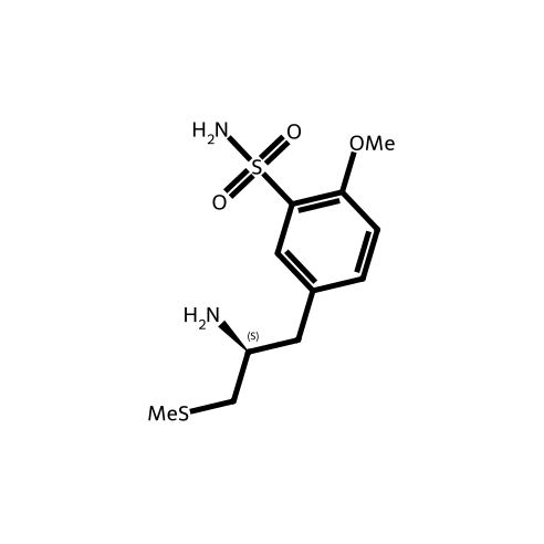 COc1ccc(C[C@H](N)CSC)cc1S(N)(=O)=O